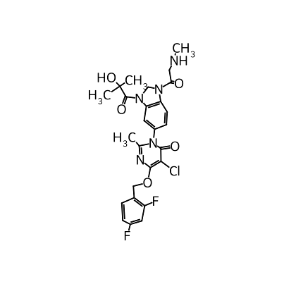 CNCC(=O)N1CN(C(=O)C(C)(C)O)c2cc(-n3c(C)nc(OCc4ccc(F)cc4F)c(Cl)c3=O)ccc21